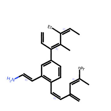 C=C/C(=C(C)\C(=C/C)CC)c1ccc(/C=C\C(=C)/C=C(\C)CCC)c(/C=C/N)c1